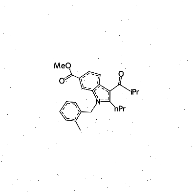 CCCc1c(C(=O)C(C)C)c2ccc(C(=O)OC)cc2n1Cc1ccccc1C